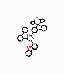 c1ccc(-c2ccccc2-c2cc(-c3cccc4c3oc3ccccc34)nc(-c3ccc4c(c3)-c3ccccc3C43c4ccccc4Oc4ccccc43)n2)cc1